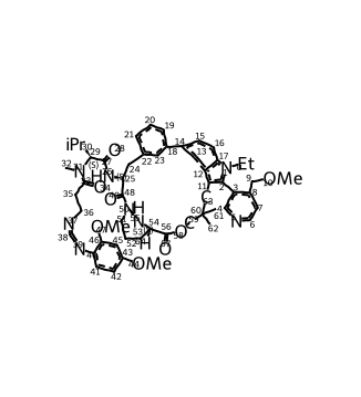 CCn1c(-c2cnccc2COC)c2c3cc(ccc31)-c1cccc(c1)C[C@H](NC(=O)[C@H](C(C)C)N(C)C(=O)CCN=C=Nc1ccc(OC)cc1OC)C(=O)N1CCC[C@H](N1)C(=O)OCC(C)(C)C2